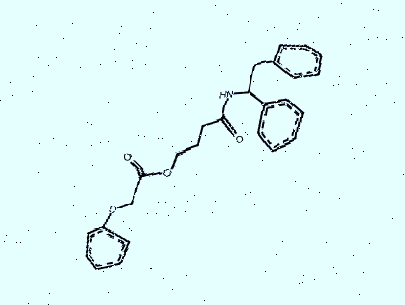 O=C(CCCOC(=O)COc1ccccc1)NC(Cc1ccccc1)c1ccccc1